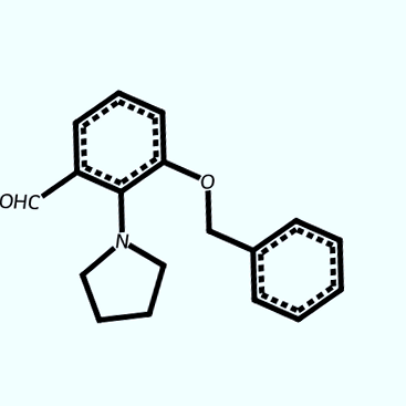 O=Cc1cccc(OCc2ccccc2)c1N1CCCC1